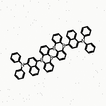 c1ccc(N(c2ccccc2)c2ccc(B3c4ccccc4B4c5cccc6c5B(c5ccccc5B6c5ccc(N(c6ccccc6)c6ccccc6)c6ccccc56)c5cccc3c54)c3ccccc23)cc1